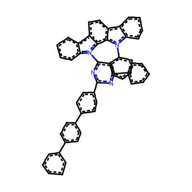 c1ccc(-c2ccc(-c3ccc(-c4nc(-c5ccccc5)cc(-n5c6ccccc6c6ccc7c8ccccc8n(-c8ccccc8)c7c65)n4)cc3)cc2)cc1